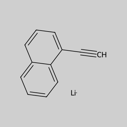 C#Cc1cccc2ccccc12.[Li]